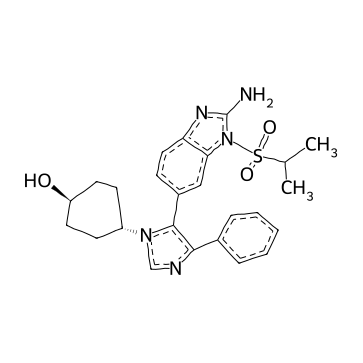 CC(C)S(=O)(=O)n1c(N)nc2ccc(-c3c(-c4ccccc4)ncn3[C@H]3CC[C@H](O)CC3)cc21